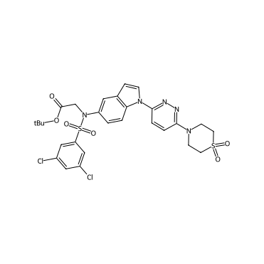 CC(C)(C)OC(=O)CN(c1ccc2c(ccn2-c2ccc(N3CCS(=O)(=O)CC3)nn2)c1)S(=O)(=O)c1cc(Cl)cc(Cl)c1